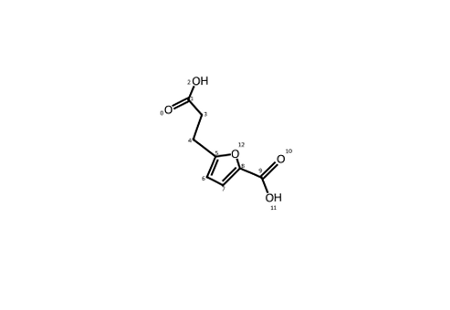 O=C(O)CCc1ccc(C(=O)O)o1